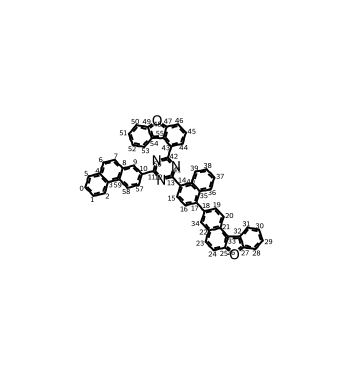 c1ccc2c(c1)ccc1cc(-c3nc(-c4ccc(-c5ccc6c(ccc7oc8ccccc8c76)c5)c5ccccc45)nc(-c4cccc5oc6ccccc6c45)n3)ccc12